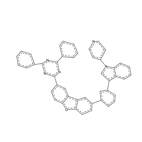 c1ccc(-c2nc(-c3ccccc3)nc(-c3ccc4oc5ccc(-c6cccc(-c7cn(-c8ccncc8)c8ccccc78)c6)cc5c4c3)n2)cc1